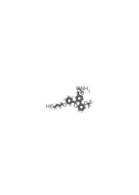 NS(=O)(=O)Cc1ccc2c(c1)C(c1cccc(OC/C=C/CO)c1)Oc1cccc(OC(F)F)c1-2